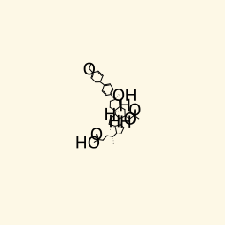 COc1ccc(-c2ccc([C@]3(O)CC[C@@]4(C)[C@H](C[C@@H](OC(C)=O)[C@@H]5[C@@H]4CC[C@]4(C)[C@@H]([C@H](C)CCC(=O)O)CC[C@@H]54)C3)cc2)cc1